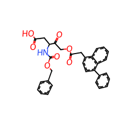 O=C(O)CC(NC(=O)OCc1ccccc1)C(=O)COC(=O)Cc1ccc(-c2ccccc2)c2ccccc12